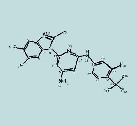 Cc1nc2cc(F)c(F)cc2n1-c1nc(N)cc(Nc2ccc(C(F)(F)F)c(F)c2)n1